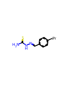 CC(C)c1ccc(/C=N/NC(N)=S)cc1